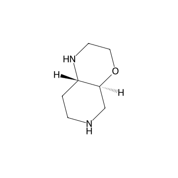 C1C[C@@H]2NCCO[C@H]2CN1